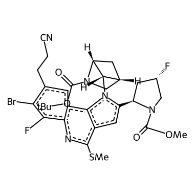 COC(=O)N1C[C@@H](F)C[C@@H]1c1cc2c(SC)nc3c(F)c(Br)c(CCC#N)cc3c2n1[C@H]1[C@@H]2C[C@H]1N(C(=O)OC(C)(C)C)C2